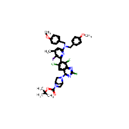 COc1ccc(CN(Cc2ccc(OC)cc2)c2cc(C)c(I)c(-c3c(Cl)cc4c(N5CC6CC5CN6C(=O)OC(C)(C)C)nc(F)nc4c3F)n2)cc1